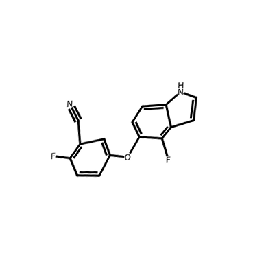 N#Cc1cc(Oc2ccc3[nH]ccc3c2F)ccc1F